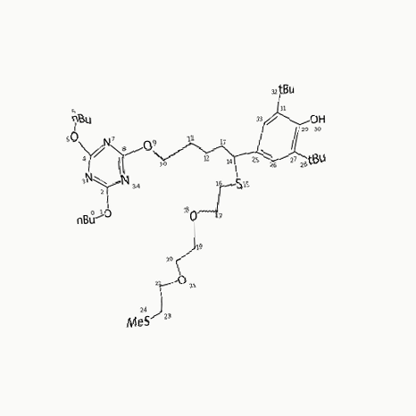 CCCCOc1nc(OCCCC)nc(OCCCCC(SCCOCCOCCSC)c2cc(C(C)(C)C)c(O)c(C(C)(C)C)c2)n1